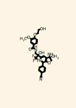 COc1cc(C(=O)NCC(O)(c2cc3c(c(-c4ccc(C#N)cc4)n2)OC[C@@]3(C)N)C(F)(F)F)ccc1OCCO